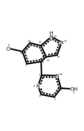 Oc1ccnc(-c2cc(Cl)cc3[nH]ncc23)n1